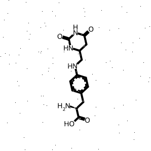 N[C@@H](Cc1ccc(NCC2CC(=O)NC(=O)N2)cc1)C(=O)O